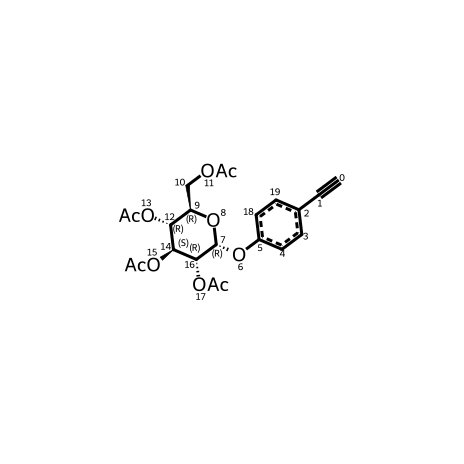 C#Cc1ccc(O[C@H]2O[C@H](COC(C)=O)[C@@H](OC(C)=O)[C@H](OC(C)=O)[C@H]2OC(C)=O)cc1